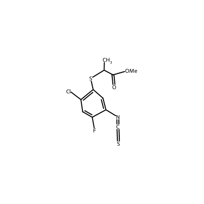 COC(=O)C(C)Sc1cc(N=C=S)c(F)cc1Cl